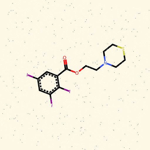 O=C(OCCN1CCSCC1)c1cc(I)cc(I)c1I